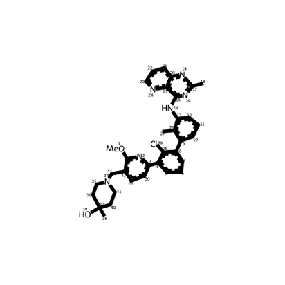 COc1nc(-c2cccc(-c3cccc(Nc4nc(C)nc5cccnc45)c3C)c2Cl)ccc1CN1CCC(C)(O)CC1